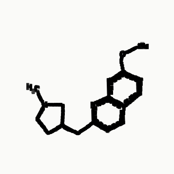 CN1CCC(Cc2ccc3ccc(OC(C)(C)C)cc3n2)C1